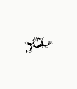 CCOC(=CP(=O)(O)O)OCC